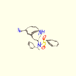 CC(c1ccccc1)N(C1CNc2ccc(C#N)cc2C1)S(=O)(=O)c1ccccc1